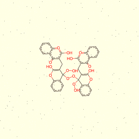 O=c1c(CC2=C(O)Oc3ccccc3C2(OO)OOC2(OO)C(Cc3c(O)oc4ccccc4c3=O)=C(O)Oc3ccccc32)c(O)oc2ccccc12